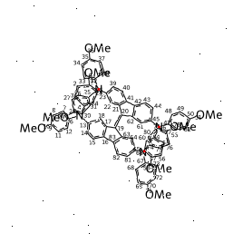 COc1ccc(N(c2ccc(OC)cc2)c2ccc3c(c2)C(=C2c4cc(N(c5ccc(OC)cc5)c5ccc(OC)cc5)ccc4-c4ccc(N(c5ccc(OC)cc5)c5ccc(OC)cc5)cc42)c2cc(N(c4ccc(OC)cc4)c4ccc(OC)cc4)ccc2-3)cc1